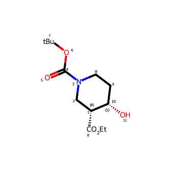 CCOC(=O)[C@@H]1CN(C(=O)OC(C)(C)C)CC[C@@H]1O